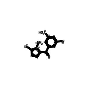 CCc1ccc(C(=O)c2cc(Br)cc(C(=O)O)c2)n1N